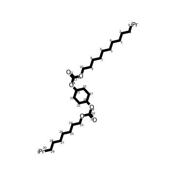 CC(C)CCCCCCCCCCOC(=O)OC1CCC(OC(=O)OCCCCCCCC(C)C)CC1